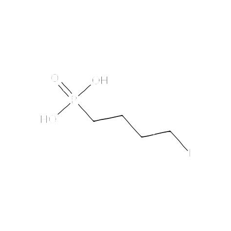 O=P(O)(O)CCCCI